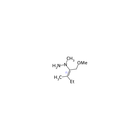 CC/C(C)=C(\COC)N(C)N